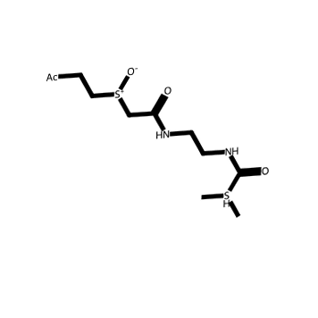 CC(=O)CC[S+]([O-])CC(=O)NCCNC(=O)[SH](C)C